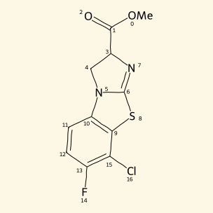 COC(=O)C1CN2C(=N1)Sc1c2ccc(F)c1Cl